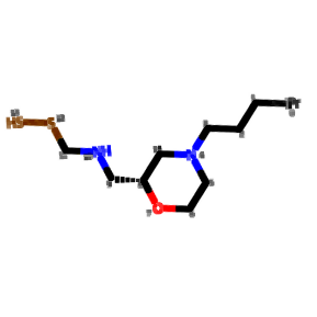 CC(C)CCCN1CCO[C@H](CNCSS)C1